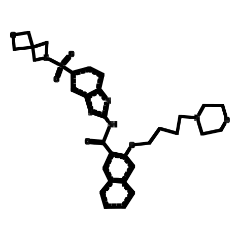 O=C(Nc1nc2ccc(S(=O)(=O)N3CC4(COC4)C3)cc2s1)c1cc2ccccc2cc1OCCCCN1CCOCC1